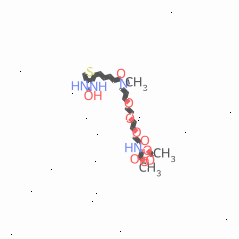 COC(=O)C(NC(=O)COCCOCCOCCCN(C)C(=O)CCCCC1SCC2NC(O)NC21)OC(C)=O